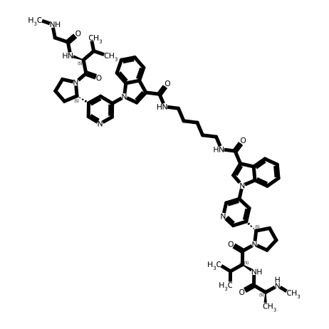 CNCC(=O)N[C@H](C(=O)N1CCC[C@H]1c1cncc(-n2cc(C(=O)NCCCCCNC(=O)c3cn(-c4cncc([C@@H]5CCCN5C(=O)[C@@H](NC(=O)[C@H](C)NC)C(C)C)c4)c4ccccc34)c3ccccc32)c1)C(C)C